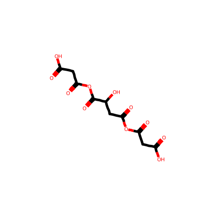 O=C(O)CC(=O)OC(=O)CC(O)C(=O)OC(=O)CC(=O)O